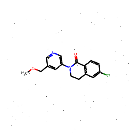 COCc1cncc(N2CCc3cc(Cl)ccc3C2=O)c1